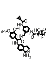 CCCC(N)=O.CCOc1cc(C(Nc2ccc3c(N)nccc3c2)C(=O)NCc2cccc(NC(=O)C3CC3)c2)ccc1OC(C)C.O=C(O)C(F)(F)F